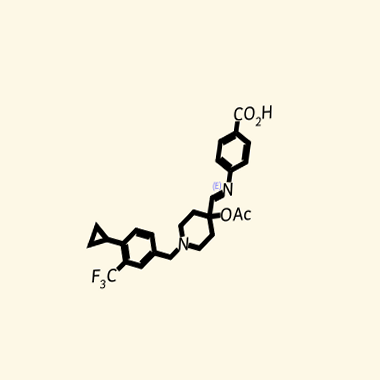 CC(=O)OC1(/C=N/c2ccc(C(=O)O)cc2)CCN(Cc2ccc(C3CC3)c(C(F)(F)F)c2)CC1